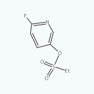 CCS(=O)(=O)Oc1ccc(F)nc1